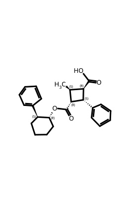 C[C@H]1[C@@H](C(=O)O)[C@H](c2ccccc2)[C@@H]1C(=O)O[C@@H]1CCCC[C@H]1c1ccccc1